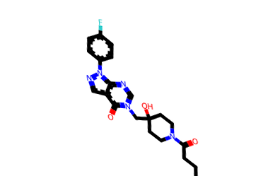 O=C(CCC(F)F)N1CCC(O)(Cn2cnc3c(cnn3-c3ccc(F)cc3)c2=O)CC1